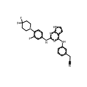 N#CCc1cccc(Nc2nc(Nc3ccc(N4CCC(F)(F)CC4)c(F)c3)nc3[nH]ccc23)c1